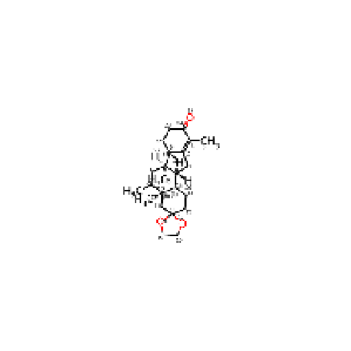 CC1=C2C[C@H]3[C@@H](C[C@H](C)[C@@]4(C)CC5(CC[C@]34C)OCCO5)[C@@H]2CCC1=O